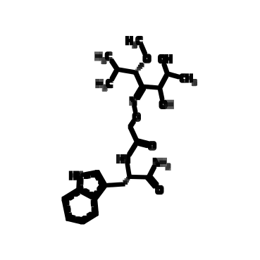 CO[C@H](/C(=N/OCC(=O)N[C@@H](Cc1c[nH]c2ccccc12)C(N)=O)C(O)C(C)O)C(C)C